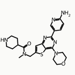 CN(Cc1cc2nc(-c3ccc(N)nc3)nc(N3CCOCC3)c2s1)C(=O)C1CCNCC1